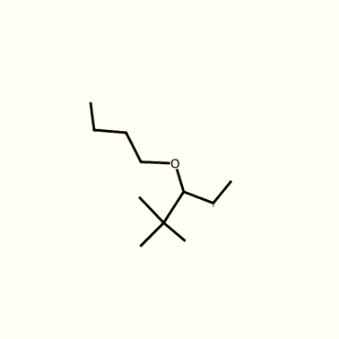 C[CH]C(OCCCC)C(C)(C)C